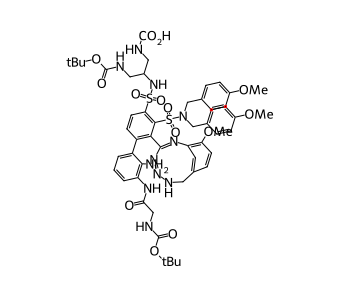 COc1ccc(CN(Cc2ccc(OC)cc2)S(=O)(=O)c2c(S(=O)(=O)NC(CNC(=O)O)CNC(=O)OC(C)(C)C)ccc(-c3cccc(NC(=O)CNC(=O)OC(C)(C)C)c3N)c2C2=N/c3cc(ccc3OC)CN/N=N\2)cc1